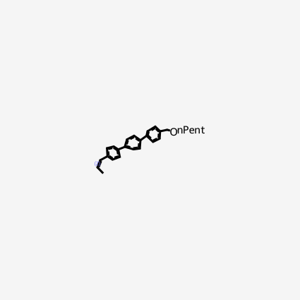 C/C=C\c1ccc(-c2ccc(-c3ccc(COCCCCC)cc3)cc2)cc1